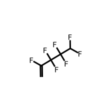 C=C(F)C(F)(F)C(F)(F)C(F)F